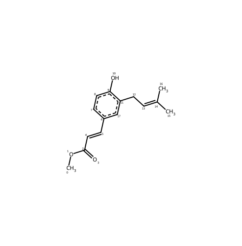 COC(=O)/C=C/c1ccc(O)c(CC=C(C)C)c1